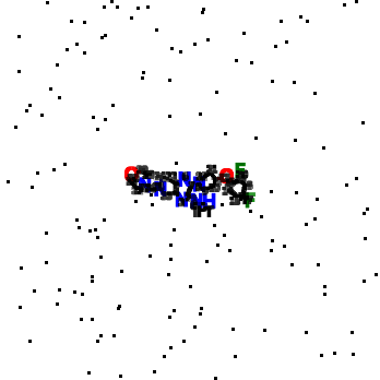 CC(C)Nc1nc2c(nc1N1CCC(Oc3ccc(F)cc3F)CC1)CCN(CN1CCOCC1)C2